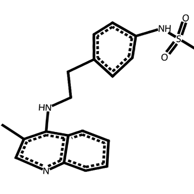 Cc1cnc2ccccc2c1NCCc1ccc(NS(C)(=O)=O)cc1